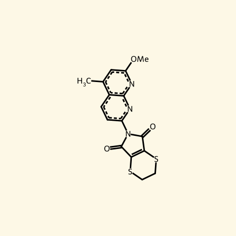 COc1cc(C)c2ccc(N3C(=O)C4=C(SCCS4)C3=O)nc2n1